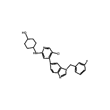 OC1CCC(Nc2cc(-c3ccc4ncn(Cc5cccc(F)c5)c4c3)c(Cl)cn2)CC1